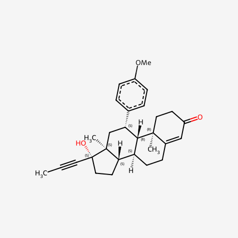 CC#C[C@]1(O)CC[C@H]2[C@@H]3CCC4=CC(=O)CC[C@]4(C)[C@H]3[C@@H](c3ccc(OC)cc3)C[C@@]21C